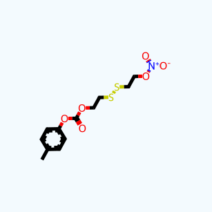 Cc1ccc(OC(=O)OCCSSCCO[N+](=O)[O-])cc1